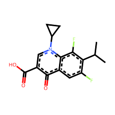 CC(C)c1c(F)cc2c(=O)c(C(=O)O)cn(C3CC3)c2c1F